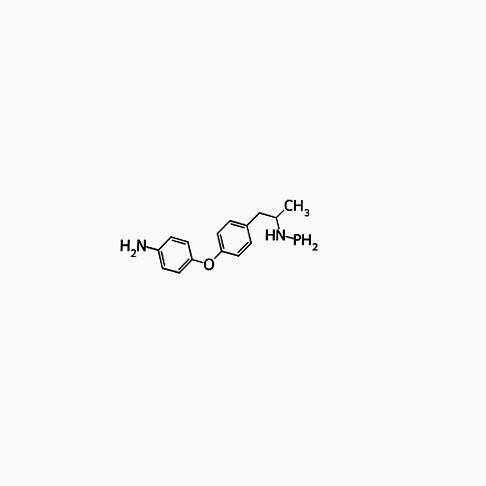 CC(Cc1ccc(Oc2ccc(N)cc2)cc1)NP